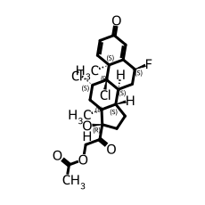 CC(=O)OCC(=O)[C@@]1(O)CC[C@H]2[C@@H]3C[C@H](F)C4=CC(=O)C=C[C@]4(C)[C@@]3(Cl)[C@@H](Cl)C[C@@]21C